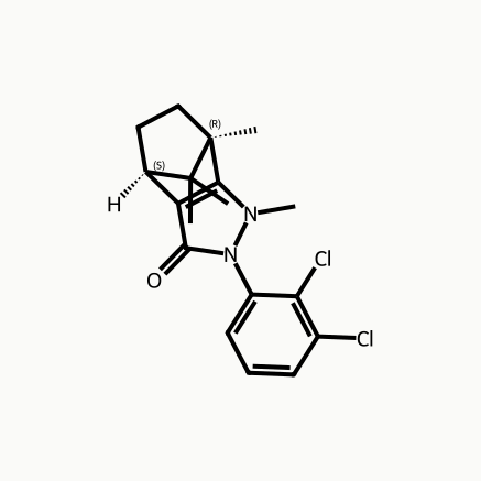 Cn1c2c(c(=O)n1-c1cccc(Cl)c1Cl)[C@H]1CC[C@]2(C)C1(C)C